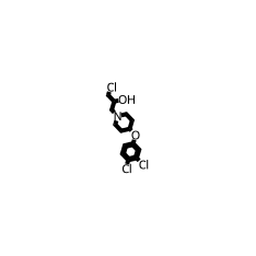 OC(CCl)CN1CCC(Oc2ccc(Cl)c(Cl)c2)CC1